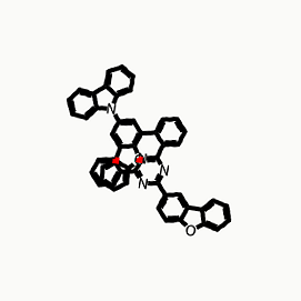 c1ccc(-c2nc(-c3ccc4oc5ccccc5c4c3)nc(-c3ccccc3-c3cc(-n4c5ccccc5c5ccccc54)cc4c3oc3ccccc34)n2)cc1